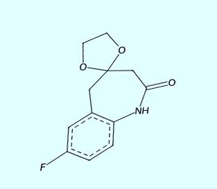 O=C1CC2(Cc3cc(F)ccc3N1)OCCO2